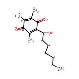 CC(=O)OCCCCCC(O)C1=C(C)C(=O)C(C)=C(C)C1=O